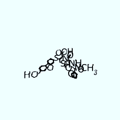 CON=C(C(=O)N[C@@H]1C(=O)N2C(C(=O)O)=C(Sc3ccc4c(c3)oc3cc(CO)ccc34)CS[C@@H]12)c1ccco1